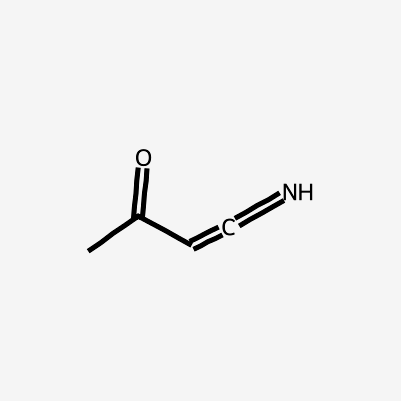 CC(=O)C=C=N